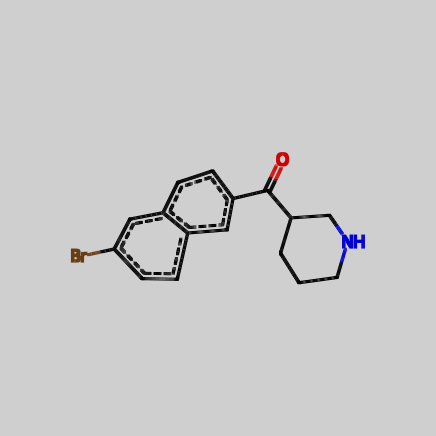 O=C(c1ccc2cc(Br)ccc2c1)C1CCCNC1